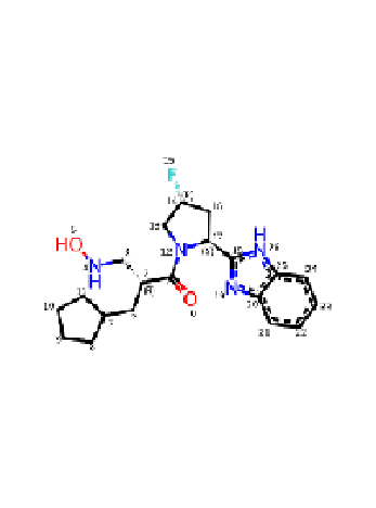 O=C([C@@H](CNO)CC1CCCC1)N1C[C@H](F)C[C@H]1c1nc2ccccc2[nH]1